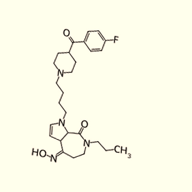 CCCN1CC/C(=N/O)C2C=CN(CCCCN3CCC(C(=O)c4ccc(F)cc4)CC3)C2C1=O